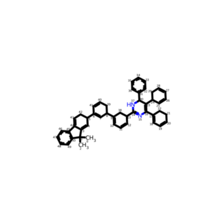 CC1(C)C2=CC(C3=CC(C4=CC=CC(C5=NC(C6=CC=CCC6)=C(C6C=CC=CC6)C(c6ccccc6)N5)C4)CC=C3)CC=C2c2ccccc21